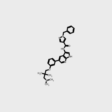 CN(C)CC(C)(C)COc1cccc(-c2cnc3[nH]cc(NC(=O)c4cnn(Cc5ccccc5)c4)c3c2)c1